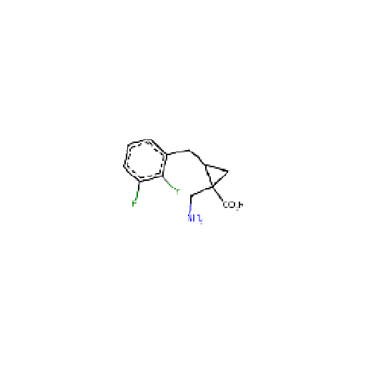 NCC1(C(=O)O)CC1Cc1cccc(F)c1F